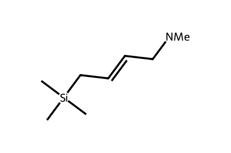 CNCC=CC[Si](C)(C)C